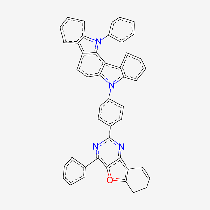 C1=Cc2c(oc3c(-c4ccccc4)nc(-c4ccc(-n5c6ccccc6c6c5ccc5c7ccccc7n(-c7ccccc7)c56)cc4)nc23)CC1